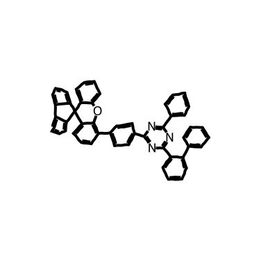 c1ccc(-c2nc(-c3ccc(-c4cccc5c4Oc4ccccc4C54c5ccccc5-c5ccccc54)cc3)nc(-c3ccccc3-c3ccccc3)n2)cc1